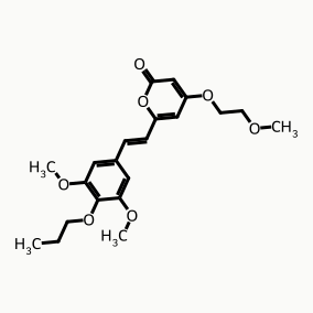 CCCOc1c(OC)cc(C=Cc2cc(OCCOC)cc(=O)o2)cc1OC